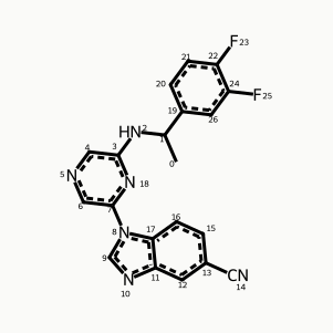 CC(Nc1cncc(-n2cnc3cc(C#N)ccc32)n1)c1ccc(F)c(F)c1